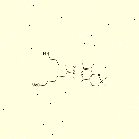 COCCCCCN(OCCCN)S(=O)(=O)c1c(C)c(C)c2c(c1C)CCC(C)(C)O2